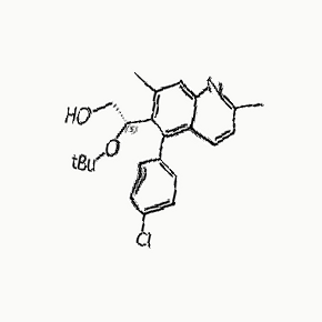 Cc1ccc2c(-c3ccc(Cl)cc3)c([C@@H](CO)OC(C)(C)C)c(C)cc2n1